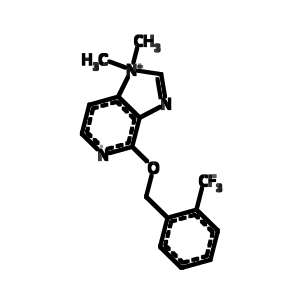 C[N+]1(C)C=Nc2c1ccnc2OCc1ccccc1C(F)(F)F